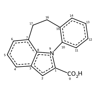 O=C(O)c1cc2cccc3c2n1-c1ccccc1CC3